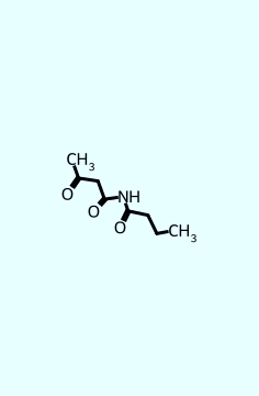 CCCC(=O)NC(=O)CC(C)=O